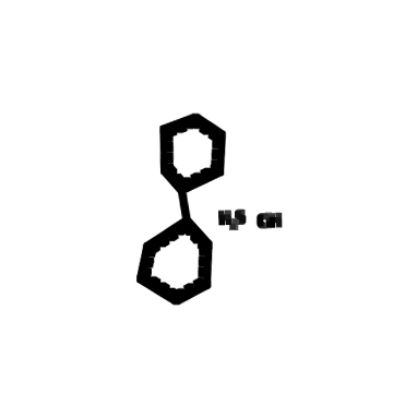 Cl.S.c1ccc(-c2ccccc2)cc1